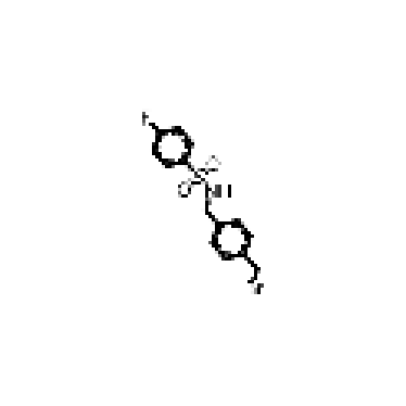 O=S(=O)(NCc1ccc(CBr)cc1)c1ccc(F)cc1